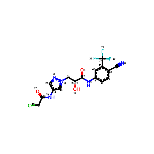 N#Cc1ccc(NC(=O)[C@@H](O)Cn2cc(NC(=O)CCl)cn2)cc1C(F)(F)F